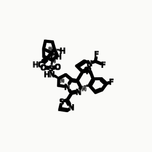 C#C[C@@]1(O)C2CC[C@H]1C[C@H](S(=O)(=O)N[C@H]1CC3=C(c4ccn(C(F)F)n4)[C@H](c4ccc(F)cc4Cl)N=C(c4nccs4)N3C1)C2